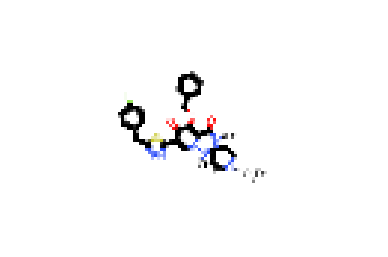 CCOC(=O)N1CCC2(CC1)N(CC)C(=O)c1c(OCc3ccccc3)c(=O)c(-c3nnc(Cc4ccc(F)cc4)s3)cn1N2C